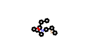 c1ccc(-c2cccc(-c3cccc(N(c4ccc(-c5cccc6c5sc5ccccc56)cc4)c4ccccc4-c4ccc5ccccc5c4)c3)c2)cc1